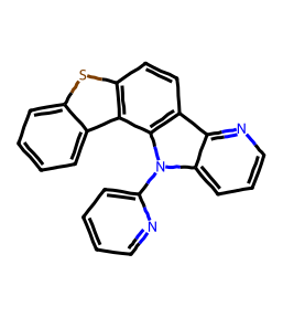 c1ccc(-n2c3cccnc3c3ccc4sc5ccccc5c4c32)nc1